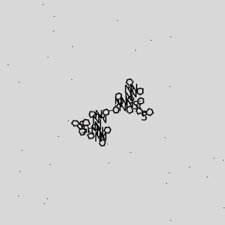 c1ccc([Si](c2ccccc2)(c2ccc3sc4ccccc4c3c2)c2cc(-n3c4ccccc4n4c5ccccc5nc34)nc(-n3c4ccccc4n4c5cc(-c6ccc7c(c6)nc6n(-c8cc([Si](c9ccccc9)(c9ccccc9)c9cccc%10c9sc9ccccc9%10)nc(-n9c%10ccccc%10n%10c%11ccccc%11nc9%10)n8)c8ccccc8n76)ccc5nc34)n2)cc1